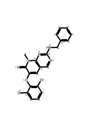 Cn1c(=O)c(Oc2c(Cl)cccc2Cl)cc2cnc(NCc3ccccc3)nc21